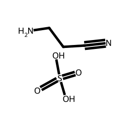 N#CCCN.O=S(=O)(O)O